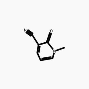 Cn1cccc(C#N)c1=O